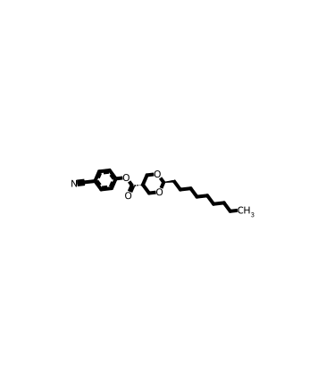 CCCCCCCCC[C@H]1OC[C@H](C(=O)Oc2ccc(C#N)cc2)CO1